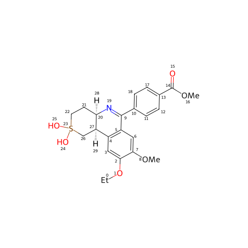 CCOc1cc2c(cc1OC)C(c1ccc(C(=O)OC)cc1)=N[C@@H]1CCS(O)(O)C[C@H]21